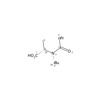 CCCC(=O)N([C@@H](C)CC)[C@@H](C)C(=O)O